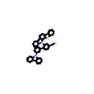 N#Cc1ccc(-c2cccc(-n3c4ccccc4c4ccccc43)c2)c(-n2c3ccccc3c3ccc4c5ccccc5oc4c32)c1